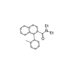 CCN(CC)C(=O)c1ccc2ccccc2c1-c1ccccc1C